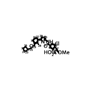 COC(=Cc1c(Cl)cc(C(=O)Nc2nc(-c3cccc(COCC4CCCC4)c3C)cs2)cc1Cl)C(=O)O